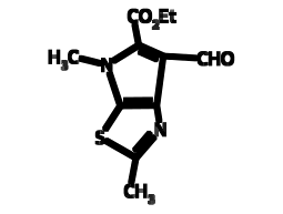 CCOC(=O)c1c(C=O)c2nc(C)sc2n1C